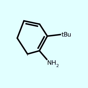 CC(C)(C)C1=C(N)[CH]CC=C1